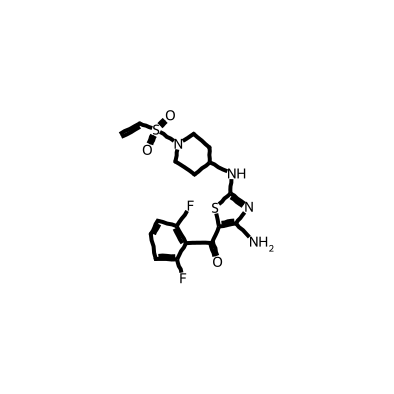 C=CS(=O)(=O)N1CCC(Nc2nc(N)c(C(=O)c3c(F)cccc3F)s2)CC1